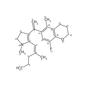 C=C(C1=C(/C=C(/C)CCC)N(C)CC1)c1cc(F)c2c(c1C)CCCO2